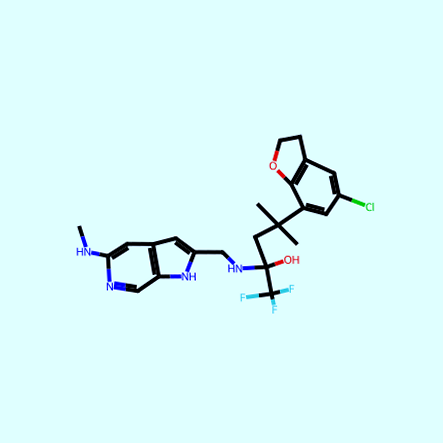 CNc1cc2cc(CNC(O)(CC(C)(C)c3cc(Cl)cc4c3OCC4)C(F)(F)F)[nH]c2cn1